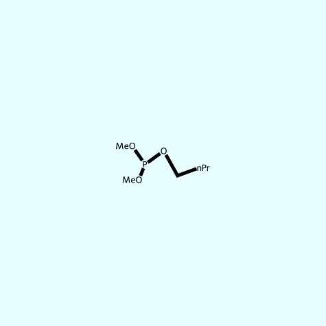 CCCCOP(OC)OC